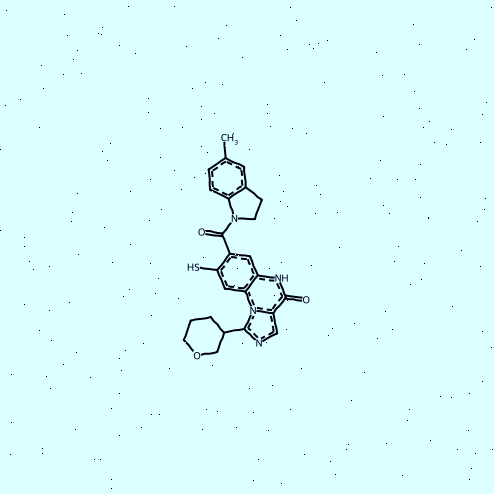 Cc1ccc2c(c1)CCN2C(=O)c1cc2[nH]c(=O)c3cnc(C4CCCOC4)n3c2cc1S